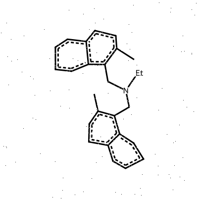 CCN(Cc1c(C)ccc2ccccc12)Cc1c(C)ccc2ccccc12